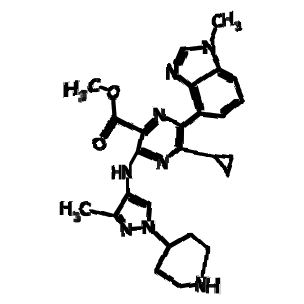 COC(=O)c1nc(-c2cccc3c2ncn3C)c(C2CC2)nc1Nc1cn(C2CCNCC2)nc1C